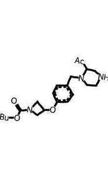 CC(=O)C1CNCCN1Cc1ccc(OC2CN(C(=O)OC(C)(C)C)C2)cc1